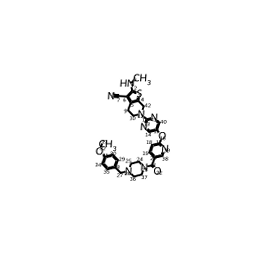 CNc1sc2c(c1C#N)CCN(c1ncc(Oc3ccc(C(=O)N4CCN(Cc5ccc(OC)cc5)CC4)cn3)cn1)C2